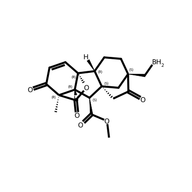 BC[C@@]12CC[C@@H]3[C@@](CC1=O)(C2)[C@@H](C(=O)OC)[C@@H]1[C@]2(C)C(=O)C=C[C@]13OC2=O